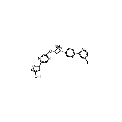 N.Oc1cc(-c2cnc(O[C@H]3C[C@@H](c4ccc(-c5cc(F)ccn5)cc4)C3)cn2)on1